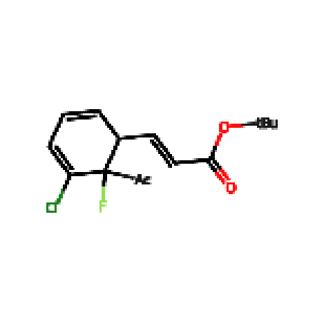 CC(=O)C1(F)C(Cl)=CC=CC1C=CC(=O)OC(C)(C)C